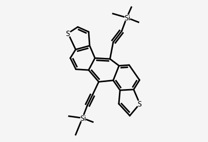 C[Si](C)(C)C#Cc1c2ccc3sccc3c2c(C#C[Si](C)(C)C)c2ccc3sccc3c12